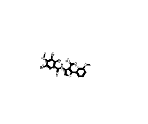 COc1cccc(-c2scc(NC(=O)c3cc(Br)c(OC)c(Br)c3Br)c2C(=O)O)c1